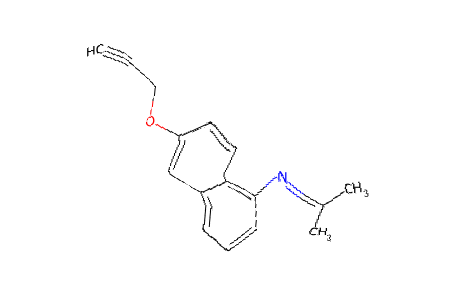 C#CCOc1ccc2c(N=C(C)C)cccc2c1